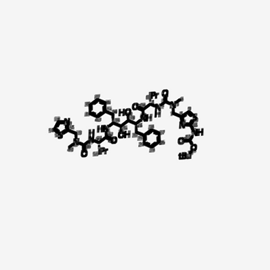 CC(C)[C@H](NC(=O)N(C)Cc1csc(NC(=O)OC(C)(C)C)n1)C(=O)N[C@@H](Cc1ccccc1)[C@H](O)[C@@H](O)[C@H](Cc1ccccc1)NC(=O)[C@@H](NC(=O)N(C)Cc1nccs1)C(C)C